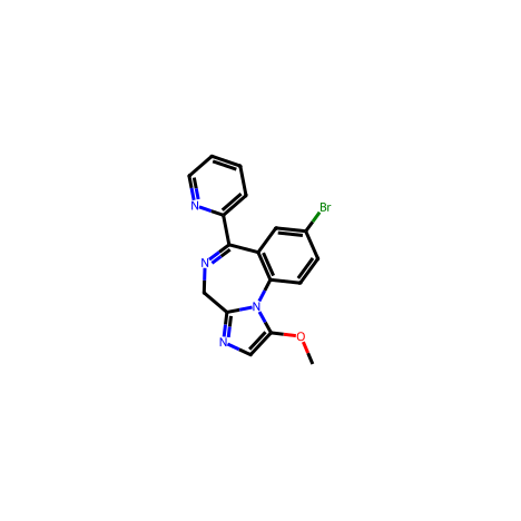 COc1cnc2n1-c1ccc(Br)cc1C(c1ccccn1)=NC2